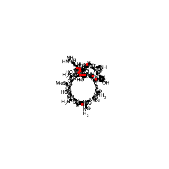 CC[C@H](C)[C@@H]1NC(=O)[C@H](CCC(N)=O)NC(=O)[C@@H]2CCCN2C(=O)[C@H](CC(N)=O)NC(=O)[C@H](CO)NC(=O)[C@H](CCSC)NC(=O)[C@H](CC(N)=O)NC(=O)[C@@H]2CSSC[C@H](NC(=O)[C@@H]3C[C@@H](O)CN3C(=O)[C@H](CC(=O)O)NC(=O)[C@@H](N)CCCNC(=N)N)C(=O)N[C@@H](CSSC[C@@H](C(N)=O)NC1=O)C(=O)N[C@@H](Cc1ccc(O)cc1)C(=O)N[C@@H](Cc1c[nH]cn1)C(=O)N1CCC[C@H]1C(=O)N[C@@H]([C@@H](C)O)C(=O)N2